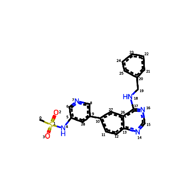 CS(=O)(=O)Nc1cncc(-c2ccc3ncnc(NCc4ccccc4)c3c2)c1